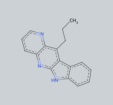 CCCc1c2ncccc2nc2[nH]c3ccccc3c12